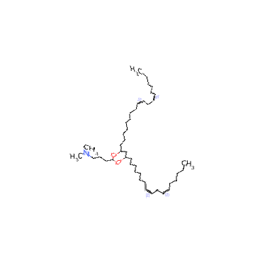 CCCCC/C=C\C/C=C\CCCCCCCCC1CC(CCCCCCC/C=C\C/C=C\CCCCC)OC(CCCN(C)C)O1